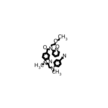 CCOC(=O)CN(C(=O)c1ccc2c(c1)nc(CN(C)c1ccc(C#N)cc1)n2C)c1ccccn1